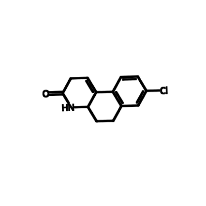 O=C1CC=C2c3ccc(Cl)cc3CCC2N1